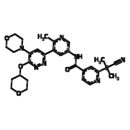 Cc1ncc(NC(=O)c2ccnc(S(C)(C)C#N)c2)cc1-c1cc(N2CCOCC2)c(OC2CCOCC2)nn1